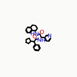 O=C(NC1CCCc2ccccc21)C(NC(=O)C(c1ccccc1)C1CCCC1)c1cccnc1